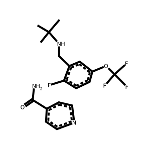 CC(C)(C)NCc1cc(OC(F)(F)F)ccc1F.NC(=O)c1ccncc1